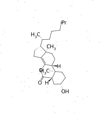 CC(C)CCC[C@@H](C)[C@H]1CCC2=C3OC(=O)[C@H]4C[C@@H](O)CC[C@]4(C)[C@H]3CC[C@@]21C